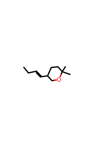 CCC=CC1CCC(C)(C)OC1